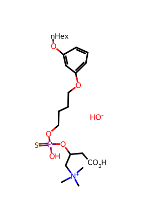 CCCCCCOc1cccc(OCCCCOP(O)(=S)OC(CC(=O)O)C[N+](C)(C)C)c1.[OH-]